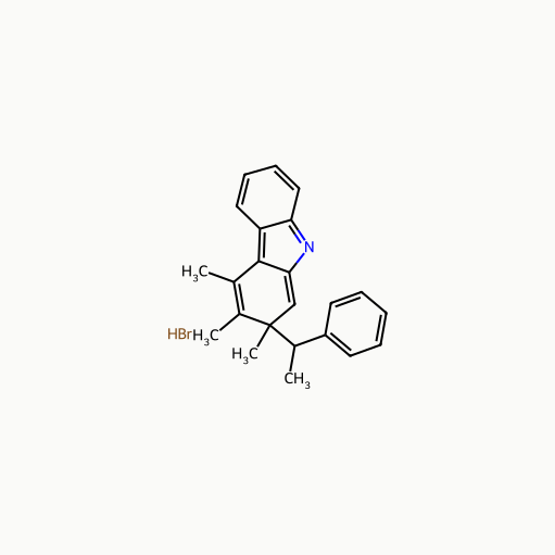 Br.CC1=C(C)C(C)(C(C)c2ccccc2)C=C2N=c3ccccc3=C21